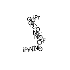 Cc1c(Oc2ccc(C(=O)N3CCN(C(C)C)CC3)cc2F)ncnc1OC1CCN(OC(=O)OC(C)C)CC1